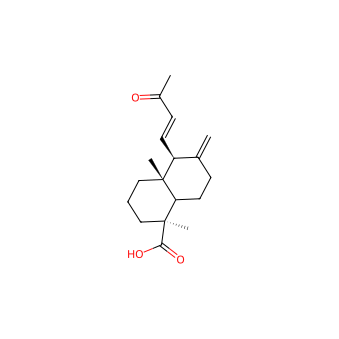 C=C1CCC2[C@](C)(CCC[C@]2(C)C(=O)O)[C@H]1/C=C/C(C)=O